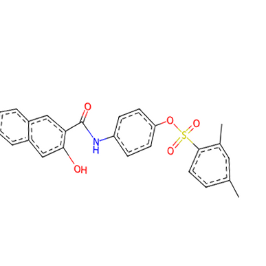 Cc1ccc(S(=O)(=O)Oc2ccc(NC(=O)c3cc4ccccc4cc3O)cc2)c(C)c1